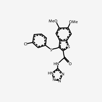 COc1cc2sc(C(=O)Nc3nnn[nH]3)c(Sc3cccc(Cl)c3)c2cc1OC